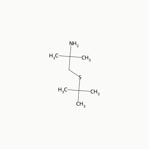 CC(C)(N)CSC(C)(C)C